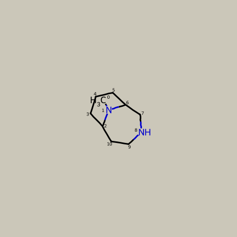 CN1C2CCCC1CNCC2